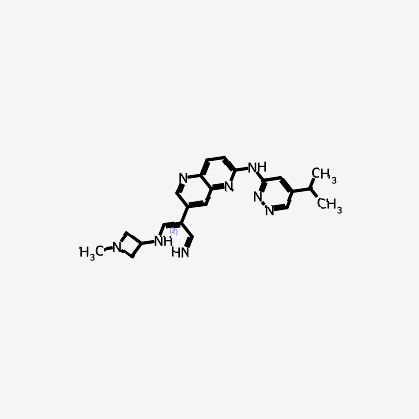 CC(C)c1cnnc(Nc2ccc3ncc(/C(C=N)=C/NC4CN(C)C4)cc3n2)c1